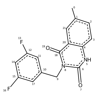 Cc1ccc2[nH]c(=O)n(Cc3cc(F)cc(F)c3)c(=O)c2c1